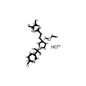 CCOC[C@]1(CCc2nc(C)c(C)s2)CCN(C(C)(C)c2ccc(C)nc2)C1.Cl